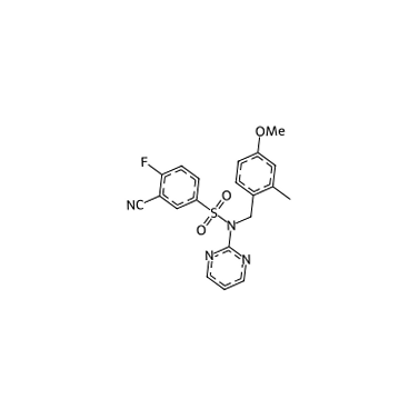 COc1ccc(CN(c2ncccn2)S(=O)(=O)c2ccc(F)c(C#N)c2)c(C)c1